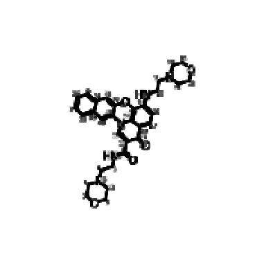 O=C(NCCN1CCOCC1)c1cn2c3c(c(NCCN4CCOCC4)ccc3c1=O)Oc1cc3ccccc3cc1-2